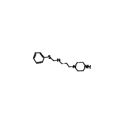 c1ccc(SC[N]CCCN2CCNCC2)cc1